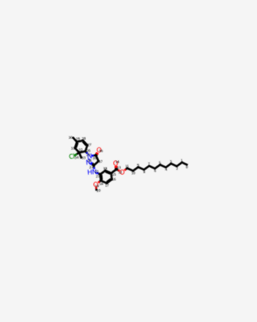 CCCCCCCCCCCCOC(=O)c1ccc(OC)c(NC2=NN(C3C=CC(C)=CC3(C)Cl)C(=O)C2)c1